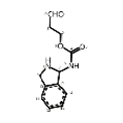 O=CCCOC(=O)NC1NCc2ccccc21